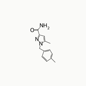 Cc1ccc(Cn2nc(C(N)=O)cc2C)cc1